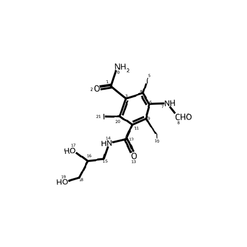 NC(=O)c1c(I)c(NC=O)c(I)c(C(=O)NCC(O)CO)c1I